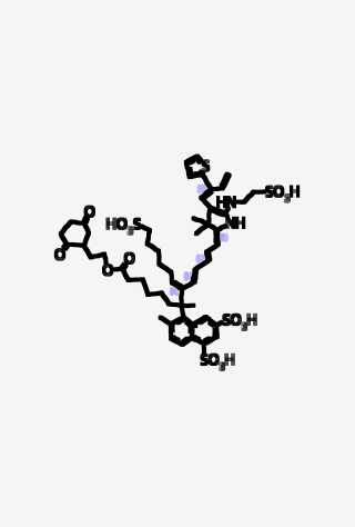 C=C/C(=C\C1=C(NCCS(=O)(=O)O)N/C(=C/C=C/C=C/C(=C\CCCCCS(=O)(=O)O)C(C)(CCCCCC(=O)OCCC2CC(=O)CCC2=O)c2c(C)ccc3c(S(=O)(=O)O)cc(S(=O)(=O)O)cc23)C1(C)C)c1cccs1